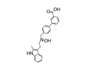 Cc1[nH]c2ccccc2c1CCN(O)Cc1ccc(-c2cccc(C(=O)O)c2)cc1